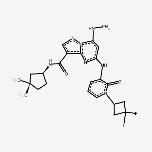 CNc1cc(Nc2cccn(C3CC(F)(F)C3)c2=O)nc2c(C(=O)N[C@H]3CC[C@](C)(O)C3)cnn12